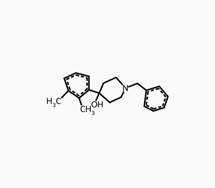 Cc1cccc(C2(O)CCN(Cc3ccccc3)CC2)c1C